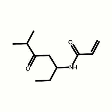 C=CC(=O)NC(CC)CC(=O)C(C)C